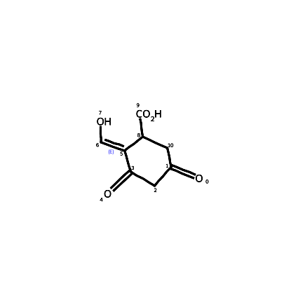 O=C1CC(=O)/C(=C/O)C(C(=O)O)C1